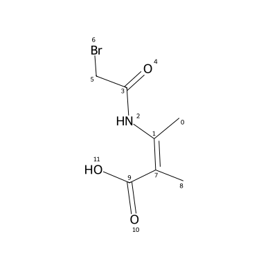 C/C(NC(=O)CBr)=C(\C)C(=O)O